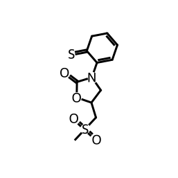 CS(=O)(=O)CC1CN(C2=CC=CCC2=S)C(=O)O1